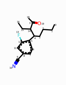 CCCCC(c1ccc(C#N)cc1F)C(CC)C(C)=O